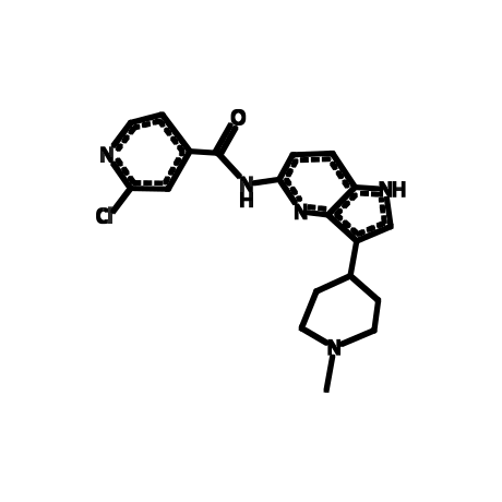 CN1CCC(c2c[nH]c3ccc(NC(=O)c4ccnc(Cl)c4)nc23)CC1